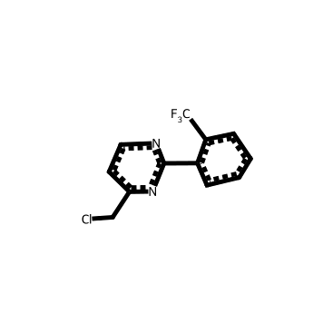 FC(F)(F)c1ccccc1-c1nccc(CCl)n1